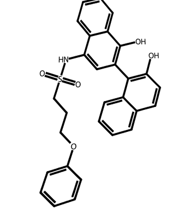 O=S(=O)(CCCOc1ccccc1)Nc1cc(-c2c(O)ccc3ccccc23)c(O)c2ccccc12